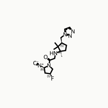 [C-]#[N+][C@@H]1C[C@H](F)CN1C(=O)CN[C@]1(C)CC[C@H](Cn2ccnn2)C1(C)C